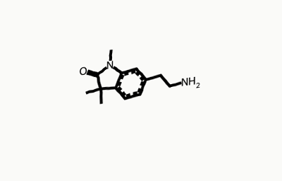 CN1C(=O)C(C)(C)c2ccc(CCN)cc21